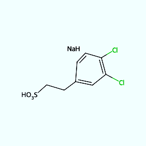 O=S(=O)(O)CCc1ccc(Cl)c(Cl)c1.[NaH]